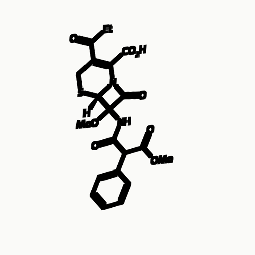 CCC(=O)C1=C(C(=O)O)N2C(=O)C(NC(=O)C(C(=O)OC)c3ccccc3)(OC)[C@@H]2SC1